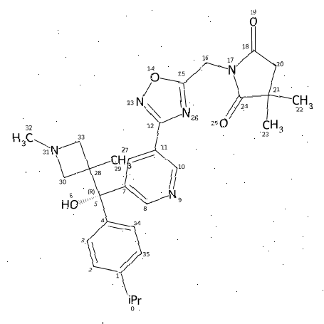 CC(C)c1ccc([C@](O)(c2cncc(-c3noc(CN4C(=O)CC(C)(C)C4=O)n3)c2)C2(C)CN(C)C2)cc1